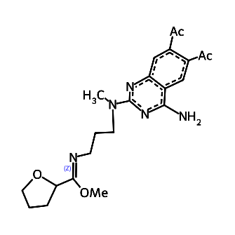 CO/C(=N\CCCN(C)c1nc(N)c2cc(C(C)=O)c(C(C)=O)cc2n1)C1CCCO1